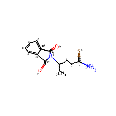 CC(CCC(N)=S)N1C(=O)c2ccccc2C1=O